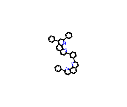 c1ccc(-c2ccc3ccc4ccc(-c5cccc(-c6ccc7ccc8c(-c9ccccc9)cc(-c9ccccc9)nc8c7n6)c5)nc4c3n2)cc1